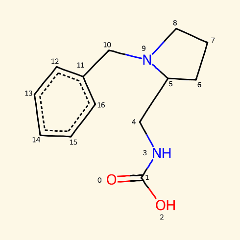 O=C(O)NCC1CCCN1Cc1ccccc1